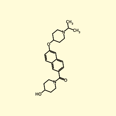 CC(C)N1CCC(Oc2ccc3cc(C(=O)N4CCC(O)CC4)ccc3c2)CC1